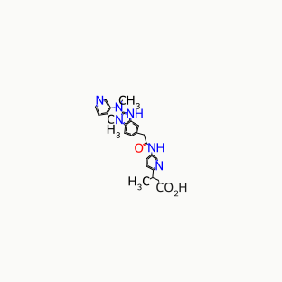 Cc1ccncc1N(C)c1nc2ccc(CC(=O)Nc3ccc(C(C)CC(=O)O)nc3)cc2[nH]1